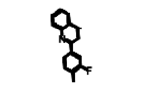 Cc1ccc(-c2c[c]c3ccccc3n2)cc1F